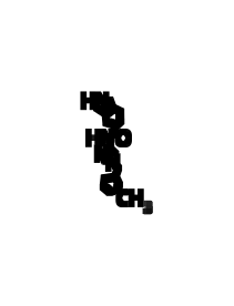 Cc1cccc(Cn2cnc(NC(=O)c3ccc4c(c3)CNC4)c2)c1